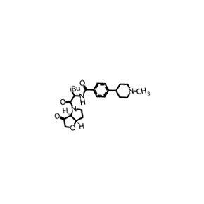 CCC(C)C(NC(=O)c1ccc(C2CCN(C)CC2)cc1)C(=O)N1CC[C@H]2OCC(=O)[C@H]21